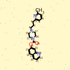 Cc1cccc(CCCN2CCN(C(=O)Oc3ccc4cccnc4c3)CC2)n1